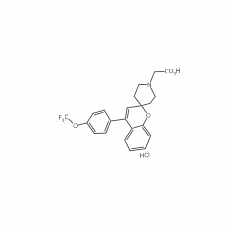 Cl.O=C(O)CN1CCC2(C=C(c3ccc(OC(F)(F)F)cc3)c3ccccc3O2)CC1